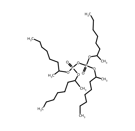 CCCCCCC(C)OP(=O)(OC(C)CCCCCC)OP(=O)(OC(C)CCCCCC)OC(C)CCCCCC